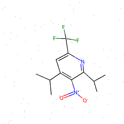 CC(C)c1cc(C(F)(F)F)nc(C(C)C)c1[N+](=O)[O-]